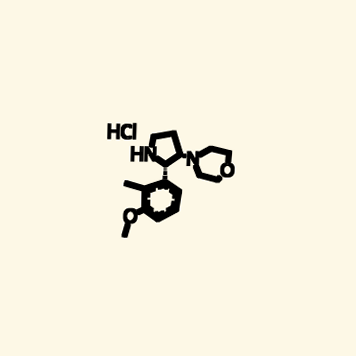 COc1cccc([C@@H]2NCC[C@@H]2N2CCOCC2)c1C.Cl